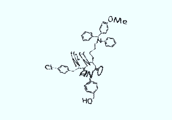 COc1ccc(C(c2ccccc2)N(CCCC[C@H](NC(=O)[C@@H](N)Cc2ccc(Cl)cc2)C(=O)Nc2ccc(CO)cc2)c2ccccc2)cc1